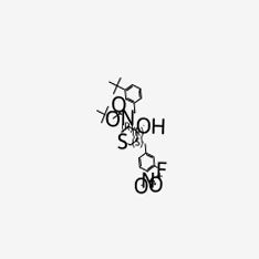 CC(C)(C)OC(=O)N(Cc1cccc(C(C)(C)C)c1)[C@H]1CSC[C@@H](Cc2ccc([N+](=O)[O-])c(F)c2)[C@H]1O